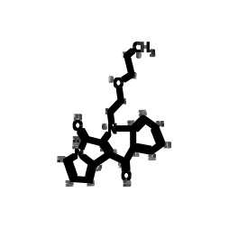 CCCOCCn1c2c(c(=O)c3ccccc31)-c1cccn1C2=O